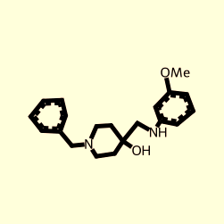 COc1cccc(NCC2(O)CCN(Cc3ccccc3)CC2)c1